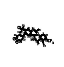 Cc1nc(NC(C)c2cccc(C(F)(F)F)c2C)c2cc(C3=CCS(=O)(=O)CC3)c(P(C)(C)=O)cc2n1